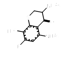 CC(=O)Nc1cc(F)c(C)c2c1C(=O)C(NC(C)=O)CS2